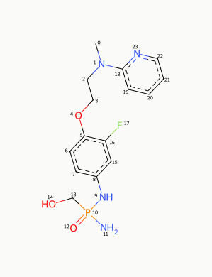 CN(CCOc1ccc(NP(N)(=O)CO)cc1F)c1ccccn1